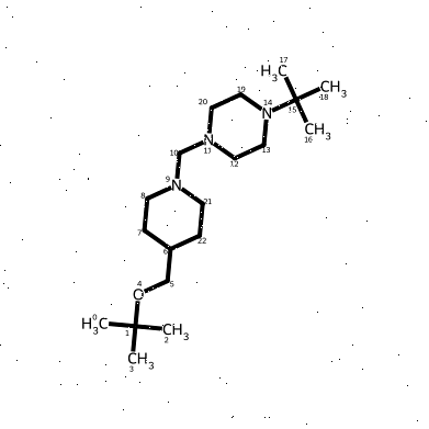 CC(C)(C)OCC1CCN(CN2CCN(C(C)(C)C)CC2)CC1